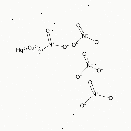 O=[N+]([O-])[O-].O=[N+]([O-])[O-].O=[N+]([O-])[O-].O=[N+]([O-])[O-].[Cu+2].[Hg+2]